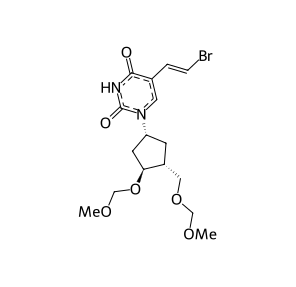 COCOC[C@H]1C[C@@H](n2cc(/C=C/Br)c(=O)[nH]c2=O)C[C@@H]1OCOC